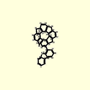 c1ccc2c(c1)sc1c(-c3cc4c5c6c3Cc3ccc7c(c3-6)-c3c(ccc6c3-c3c(ccc(c3-5)C4)C6)C7)cccc12